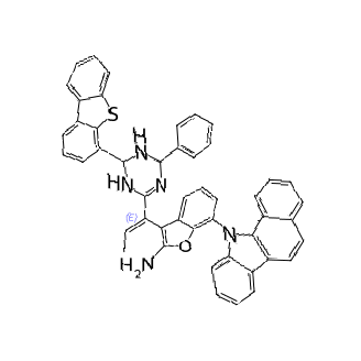 C/C=C(/C1=NC(c2ccccc2)NC(c2cccc3c2sc2ccccc23)N1)c1c(N)oc2c(-n3c4ccccc4c4ccc5ccccc5c43)cccc12